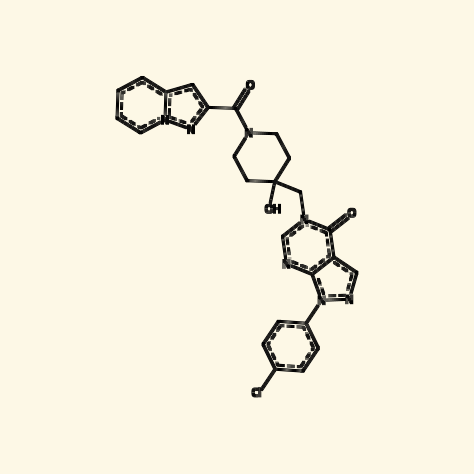 O=C(c1cc2ccccn2n1)N1CCC(O)(Cn2cnc3c(cnn3-c3ccc(Cl)cc3)c2=O)CC1